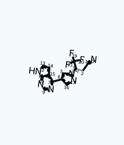 N#CC[C@H](n1cc(-c2ncnc3[nH]ccc23)cn1)C(F)(F)F